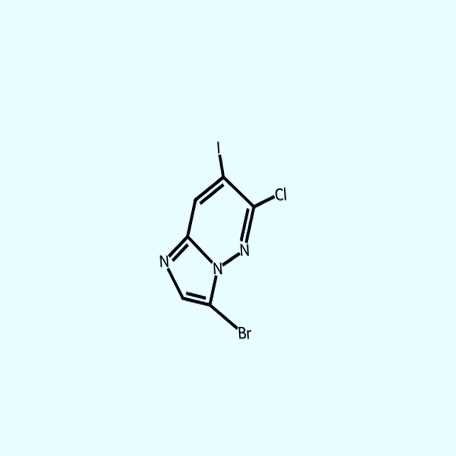 Clc1nn2c(Br)cnc2cc1I